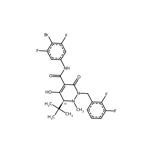 CN1[C@@H](C(C)(C)C)C(O)=C(C(=O)Nc2cc(F)c(Br)c(F)c2)C(=O)N1Cc1cccc(F)c1F